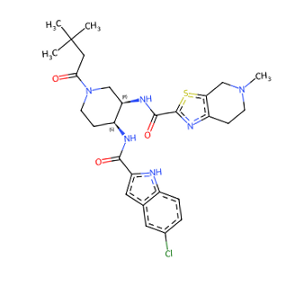 CN1CCc2nc(C(=O)N[C@@H]3CN(C(=O)CC(C)(C)C)CC[C@@H]3NC(=O)c3cc4cc(Cl)ccc4[nH]3)sc2C1